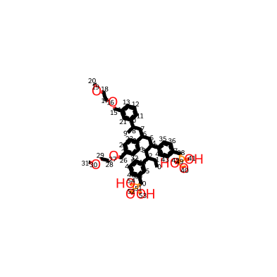 CCC(CC(CC(CC(C)c1cccc(COCCOC)c1)c1ccc(COCCOC)cc1)c1ccc(CP(=O)(O)O)cc1)c1cccc(CP(=O)(O)O)c1